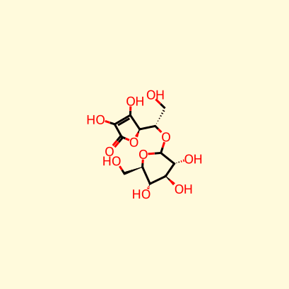 O=C1O[C@H]([C@H](CO)OC2O[C@H](CO)[C@@H](O)[C@H](O)[C@H]2O)C(O)=C1O